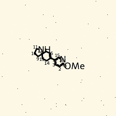 COc1ccc(C2=CCC3(CCCN3)CC2)cn1